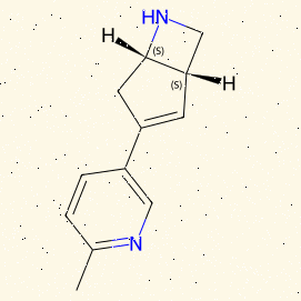 Cc1ccc(C2=C[C@H]3CN[C@H]3C2)cn1